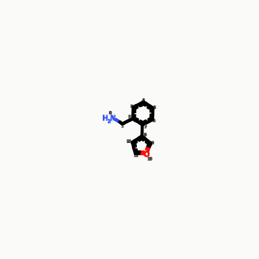 NCc1ccccc1-c1[c]occ1